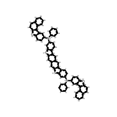 c1ccc(N(c2ccc3c(c2)sc2cc4cc5sc6cc(N(c7ccccc7)c7ccc8oc9ccc%10ccccc%10c9c8c7)ccc6c5cc4cc23)c2ccc3oc4ccc5ccccc5c4c3c2)cc1